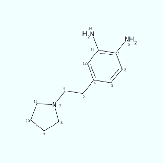 Nc1ccc(CCN2CCCC2)cc1N